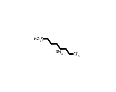 N.O=S(=O)(O)CCCCCCC(F)(F)F